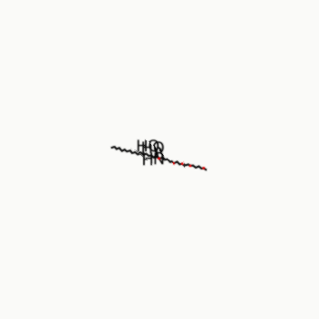 CCCCCCCCCCCCCCCC/C=C(\CCCO)N/C(=C/CCCCCCCCCCCCCCCC)CCCO